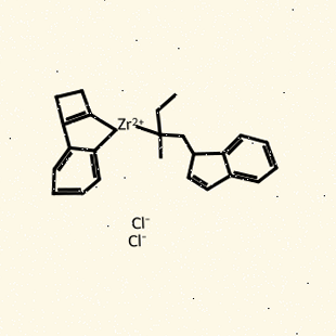 CC[C](C)(CC1C=Cc2ccccc21)[Zr+2][CH]1C2=C(CC2)c2ccccc21.[Cl-].[Cl-]